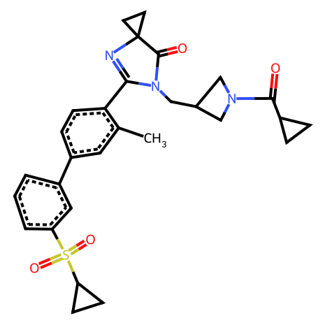 Cc1cc(-c2cccc(S(=O)(=O)C3CC3)c2)ccc1C1=NC2(CC2)C(=O)N1CC1CN(C(=O)C2CC2)C1